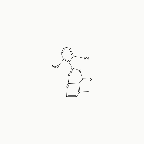 COc1cccc(OC)c1-c1nc2cccc(C)c2c(=O)o1